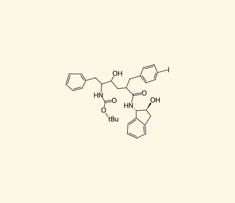 CC(C)(C)OC(=O)NC(Cc1ccccc1)C(O)CC(Cc1ccc(I)cc1)C(=O)N[C@H]1c2ccccc2C[C@@H]1O